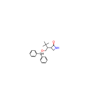 CC(C)(C)C(CO[SiH](c1ccccc1)c1ccccc1)C1CNC1=O